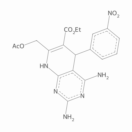 CCOC(=O)C1=C(COC(C)=O)Nc2nc(N)nc(N)c2C1c1cccc([N+](=O)[O-])c1